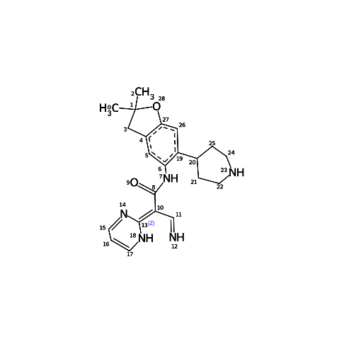 CC1(C)Cc2cc(NC(=O)/C(C=N)=C3\N=CC=CN3)c(C3CCNCC3)cc2O1